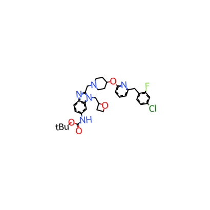 CC(C)(C)OC(=O)Nc1ccc2nc(CN3CCC(Oc4cccc(Cc5ccc(Cl)cc5F)n4)CC3)n(CC3CCO3)c2c1